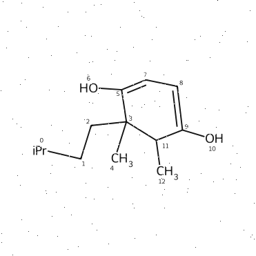 CC(C)CCC1(C)C(O)=CC=C(O)C1C